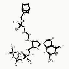 CC(C)(BCC1CC2C=CC1C2)SSCO[C@@H]1C[C@H](n2cnc3c(=O)[nH]c(N)nc32)OC1COP(=O)(O)OP(=O)(O)OP(=O)(O)O